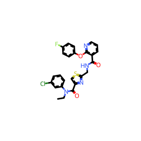 CCN(C(=O)c1csc(CNC(=O)c2cccnc2Oc2ccc(F)cc2)n1)c1cccc(Cl)c1